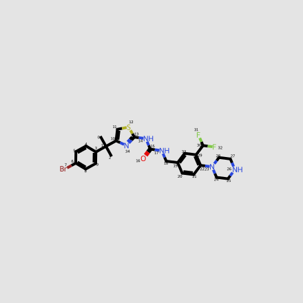 CC(C)(c1ccc(Br)cc1)c1csc(NC(=O)NCc2ccc(N3CCNCC3)c(C(F)F)c2)n1